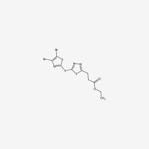 CCOC(=O)CCc1nnc(Sc2nc(Br)c(Br)s2)s1